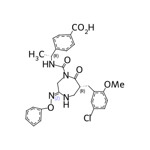 COc1ccc(Cl)cc1C[C@@H]1CN/C(=N\Oc2ccccc2)CN(C(=O)N[C@H](C)c2ccc(C(=O)O)cc2)C1=O